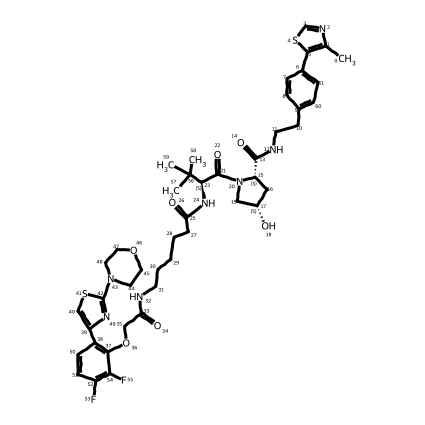 Cc1ncsc1-c1ccc(CCNC(=O)[C@@H]2C[C@H](O)CN2C(=O)[C@@H](NC(=O)CCCCCNC(=O)COc2c(-c3csc(N4CCOCC4)n3)ccc(F)c2F)C(C)(C)C)cc1